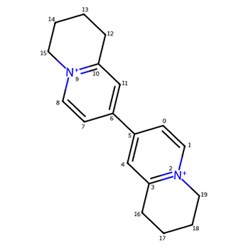 c1c[n+]2c(cc1-c1cc[n+]3c(c1)CCCC3)CCCC2